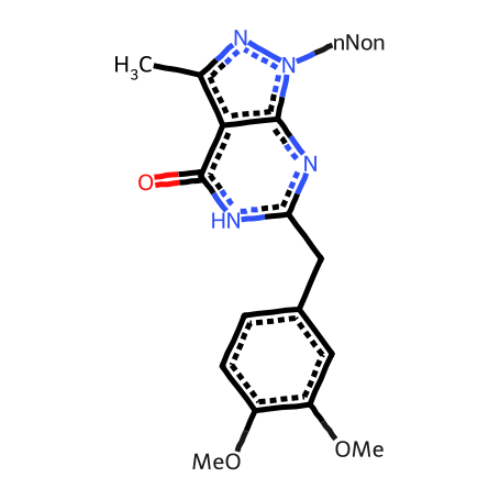 CCCCCCCCCn1nc(C)c2c(=O)[nH]c(Cc3ccc(OC)c(OC)c3)nc21